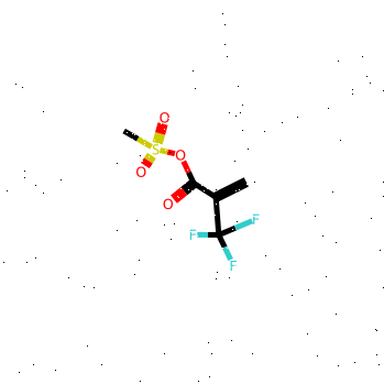 C=C(C(=O)OS(C)(=O)=O)C(F)(F)F